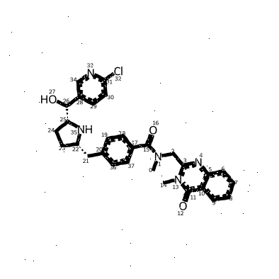 CN(Cc1nc2ccccc2c(=O)n1C)C(=O)c1ccc(C[C@@H]2CC[C@H](C(O)c3ccc(Cl)nc3)N2)cc1